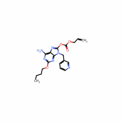 C=CCOC(=O)Oc1nc2c(N)nc(OCCCC)nc2n1Cc1cccnc1